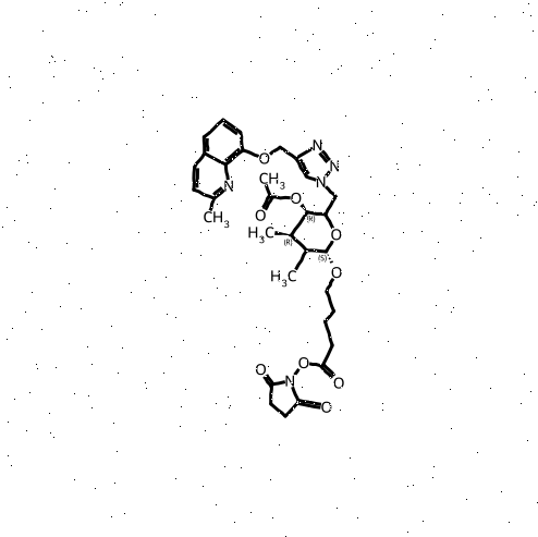 CC(=O)O[C@H]1C(Cn2cc(COc3cccc4ccc(C)nc34)nn2)O[C@H](OCCCCC(=O)ON2C(=O)CCC2=O)C(C)[C@H]1C